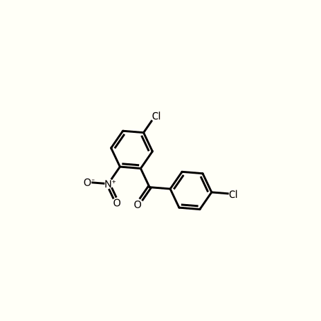 O=C(c1ccc(Cl)cc1)c1cc(Cl)ccc1[N+](=O)[O-]